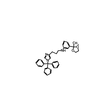 CC1(c2cccc(NCCCc3cn(C(c4ccccc4)(c4ccccc4)c4ccccc4)cn3)c2)OCCO1